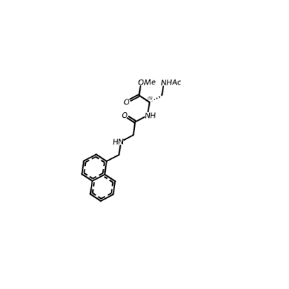 COC(=O)[C@H](CNC(C)=O)NC(=O)CNCc1cccc2ccccc12